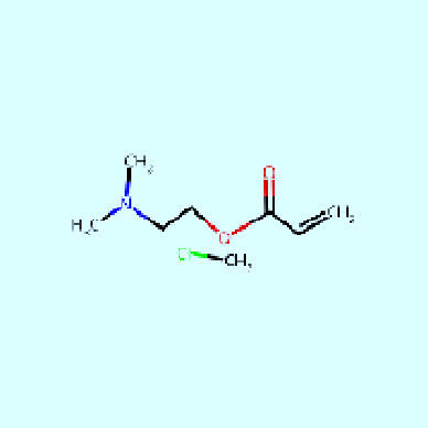 C=CC(=O)OCCN(C)C.CCl